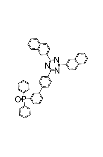 O=P(c1ccccc1)(c1ccccc1)c1cccc(-c2ccc(-c3nc(-c4ccc5ccccc5c4)nc(-c4ccc5ccccc5c4)n3)cc2)c1